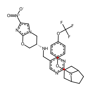 O=[N+]([O-])c1cn2c(n1)OC[C@@H](NCc1cnc(N3C4CCC3CC(Oc3ccc(OC(F)(F)F)cc3)C4)nc1)C2